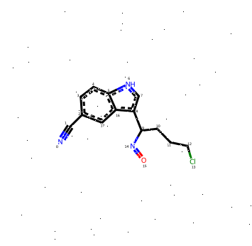 N#Cc1ccc2[nH]cc(C(CCCCl)N=O)c2c1